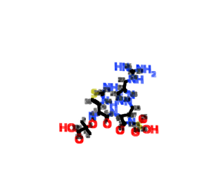 CC(C)(O/N=C(\C(=O)N[C@@H]1C(=O)N(S(=O)(=O)O)[C@@H]1Cn1ncc(CNC(=N)N)n1)c1csc(N)n1)C(=O)O